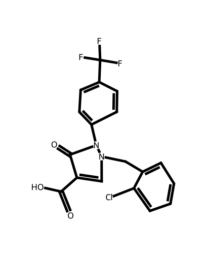 O=C(O)c1cn(Cc2ccccc2Cl)n(-c2ccc(C(F)(F)F)cc2)c1=O